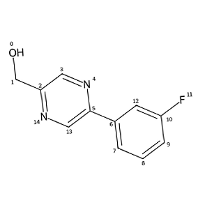 OCc1cnc(-c2cccc(F)c2)cn1